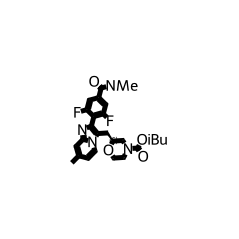 CNC(=O)c1cc(F)c(-c2nc3cc(C)ccn3c2C[C@H]2CN(C(=O)OCC(C)C)CCO2)c(F)c1